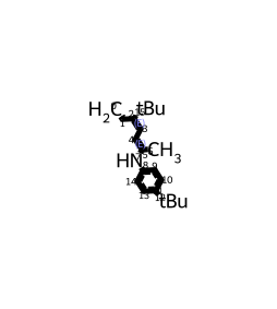 C=C/C(=C\C=C(/C)Nc1ccc(C(C)(C)C)cc1)C(C)(C)C